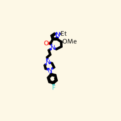 CCn1ccc2c1C(OC)CCN(CCCN1CCN(c3ccc(F)cc3)CC1)C2=O